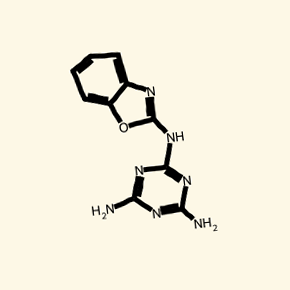 Nc1nc(N)nc(Nc2nc3ccccc3o2)n1